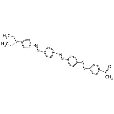 CCN(CC)c1ccc(N=Nc2ccc(N=Nc3ccc(N=Nc4ccc(C(C)=O)cc4)cc3)cc2)cc1